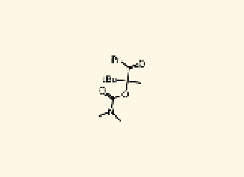 CC(C)C(=O)C(C)(OC(=O)N(C)C)C(C)(C)C